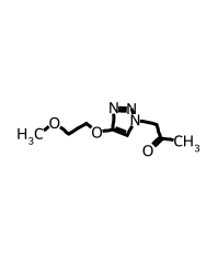 COCCOc1cn(CC(C)=O)nn1